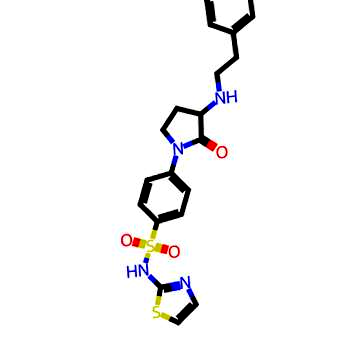 O=C1C(NCCc2ccccc2)CCN1c1ccc(S(=O)(=O)Nc2nccs2)cc1